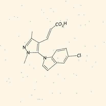 Cc1nn(C)c(-n2ccc3cc(Cl)ccc32)c1/C=C/C(=O)O